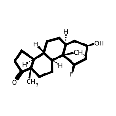 C[C@]12C(F)C[C@H](O)C[C@@H]1CC[C@@H]1[C@@H]2CC[C@]2(C)C(=O)CC[C@@H]12